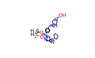 C=C(C)OC(=O)N(c1ccc(CNC2CCN(CCO)CC2)cc1)c1ncc2cnn(C3CCCCC3)c2n1